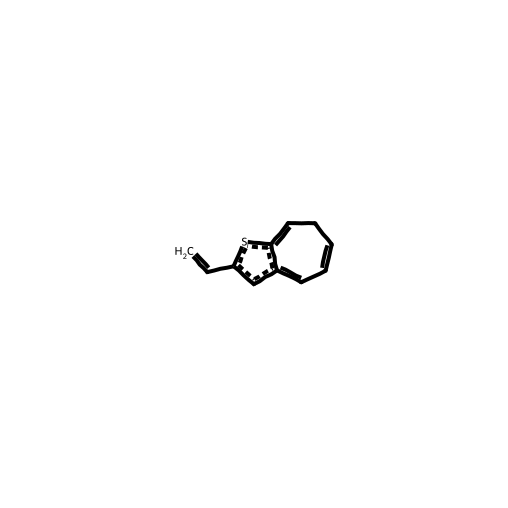 C=Cc1cc2c(s1)=CCC=CC=2